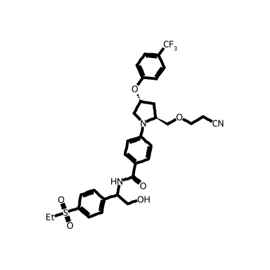 CCS(=O)(=O)c1ccc(C(CO)NC(=O)c2ccc(N3C[C@H](Oc4ccc(C(F)(F)F)cc4)C[C@H]3COCCC#N)cc2)cc1